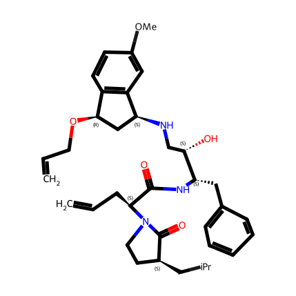 C=CCO[C@@H]1C[C@H](NC[C@H](O)[C@H](Cc2ccccc2)NC(=O)[C@H](CC=C)N2CC[C@H](CC(C)C)C2=O)c2cc(OC)ccc21